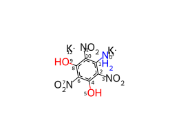 Nc1c([N+](=O)[O-])c(O)c([N+](=O)[O-])c(O)c1[N+](=O)[O-].[K].[K]